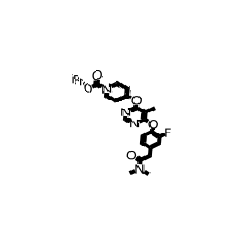 Cc1c(Oc2ccc(CC(=O)N(C)C)cc2F)ncnc1OC1CCN(C(=O)OC(C)C)CC1